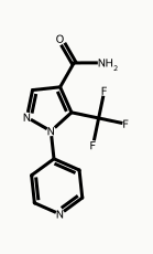 NC(=O)c1cnn(-c2ccncc2)c1C(F)(F)F